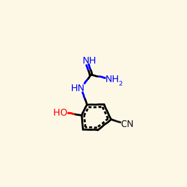 N#Cc1ccc(O)c(NC(=N)N)c1